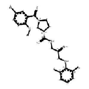 COc1ccc(Cl)cc1C(=O)N1CC[C@H](C(=O)NCC(=O)COc2c(C)cccc2C)C1